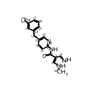 CN/C=C(\C=N)C(=O)Nc1ccc(Cc2cccc(Cl)c2)cn1